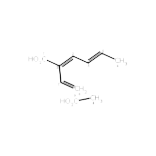 C=CC(=CC=CC)C(=O)O.CC(=O)O